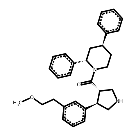 COCCc1cccc([C@@H]2CNC[C@H]2C(=O)N2CC[C@H](c3ccccc3)C[C@H]2c2ccccc2)c1